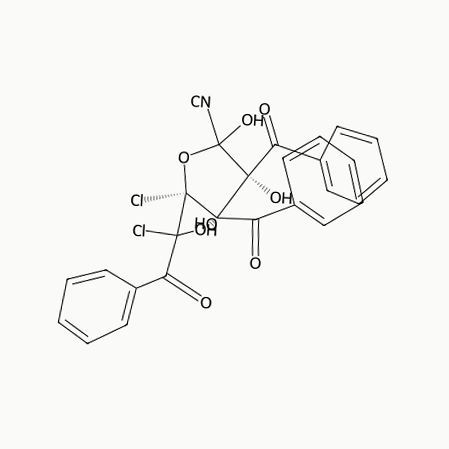 [C-]#[N+]C1(O)O[C@](Cl)(C(O)(Cl)C(=O)c2ccccc2)[C@](O)(C(=O)c2ccccc2)[C@]1(O)C(=O)c1ccccc1